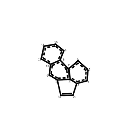 [c]1c2c3c(cccc3c3ccccc13)C=C2